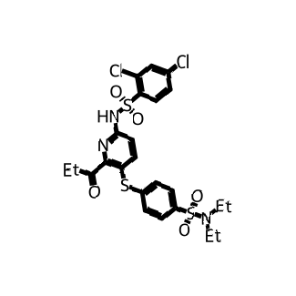 CCC(=O)c1nc(NS(=O)(=O)c2ccc(Cl)cc2Cl)ccc1Sc1ccc(S(=O)(=O)N(CC)CC)cc1